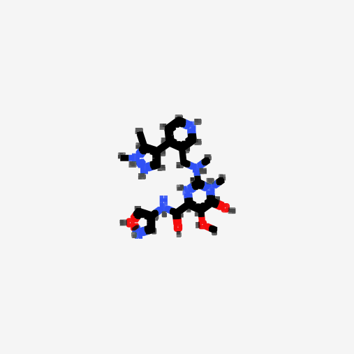 COc1c(C(=O)Nc2cnoc2)nc(N(C)Cc2cnccc2-c2cnn(C)c2C)n(C)c1=O